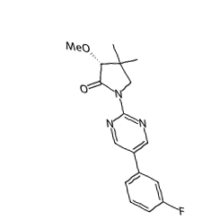 CO[C@H]1C(=O)N(c2ncc(-c3cccc(F)c3)cn2)CC1(C)C